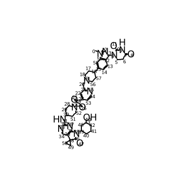 Cn1nc(N2CCC(=O)NC2=O)c2ccc(C3CCN(Cc4cc(S(=O)(=O)N5CCC(Nc6ncc7c(n6)N([C@@H]6CCC[C@@H](O)C6)C(=O)C76CC6)CC5)ccn4)CC3)cc21